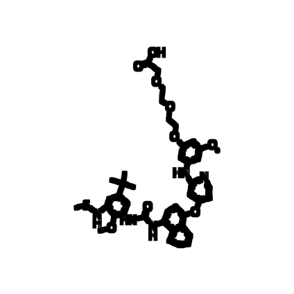 COc1cc(Nc2cc(Oc3ccc(NC(=O)Nc4cc(C(C)(C)C)cc(NSC)c4OC)c4ccccc34)ccn2)cc(OCCOCCOCC(=O)O)c1